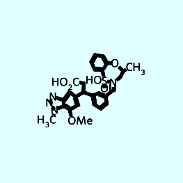 COc1cc(C(CC(=O)O)c2cccc(CN3CC(C)Oc4ccccc4S3(O)O)c2)cc2nnn(C)c12